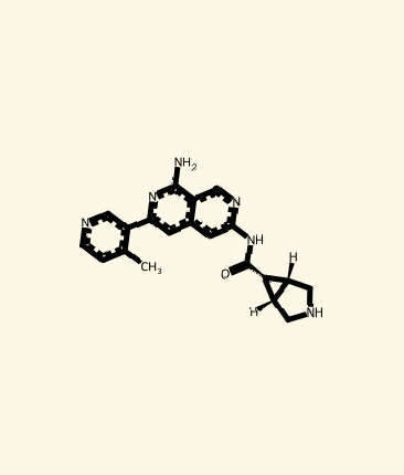 Cc1ccncc1-c1cc2cc(NC(=O)[C@H]3[C@@H]4CNC[C@@H]43)ncc2c(N)n1